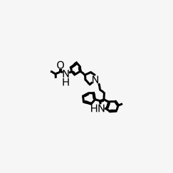 Cc1ccc2[nH]c(-c3ccccc3)c(CCCN3CCC(c4cccc(NC(=O)C(C)C)c4)CC3)c2c1